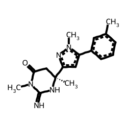 Cc1cccc(-c2cc([C@]3(C)CC(=O)N(C)C(=N)N3)nn2C)c1